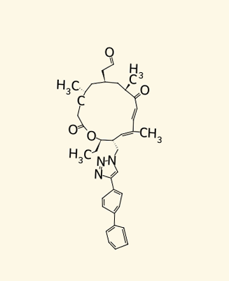 CC[C@H]1OC(=O)CC[C@H](C)C[C@@H](CC=O)C[C@@H](C)C(=O)/C=C/C(C)=C/[C@@H]1Cn1cc(-c2ccc(-c3ccccc3)cc2)nn1